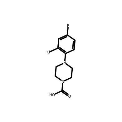 O=C(O)N1CCN(c2ccc(F)cc2Cl)CC1